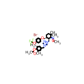 CON=C1[C@@H](Cn2c[n+](Cc3cc(C)c(OC(C)=O)c(C)c3)cn2)[C@H](COc2ccc(OC(F)(F)F)cc2)CCC1(C)C.[Br-]